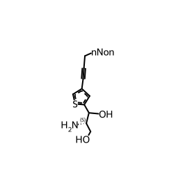 CCCCCCCCCCC#Cc1csc(C(O)[C@@H](N)CO)c1